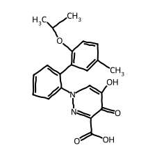 Cc1ccc(OC(C)C)c(-c2ccccc2-n2cc(O)c(=O)c(C(=O)O)n2)c1